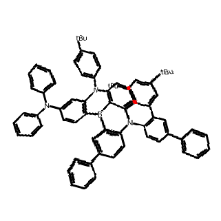 CC(C)(C)c1ccc(N2c3cc(N(c4ccccc4)c4ccccc4)ccc3B3c4cc(-c5ccccc5)ccc4N(c4ccc(-c5ccccc5)cc4-c4cc(C(C)(C)C)cc(C(C)(C)C)c4)c4cccc2c43)cc1